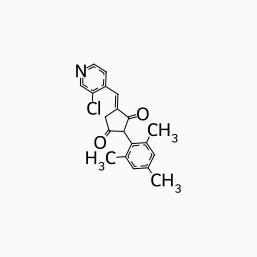 Cc1cc(C)c(C2C(=O)C/C(=C\c3ccncc3Cl)C2=O)c(C)c1